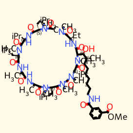 CC[C@@H]1NC(=O)C([C@H](O)[C@H](C)CCCCCCCNC(=O)c2cccc(C(=O)OC)c2)N(C)C(=O)[C@H](C(C)C)N(C)C(=O)N(C)C(=O)[C@@H](CC(C)C)N(C)C(=O)C(C)NC(=O)[C@@H](C)NC(=O)[C@@H](CC(C)C)N(C)C(=O)[C@@H](C(C)C)NC(=O)[C@H](CC(C)C)N(C)C(=O)CN(C)C1=O